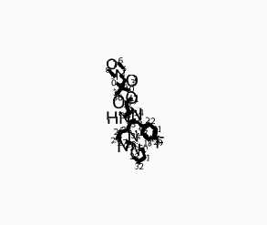 CC1(C(=O)N2CCOCC2)COC(c2nc(-c3ccc(F)cc3)c(-c3ccnc(N4CCCC4)n3)[nH]2)OC1